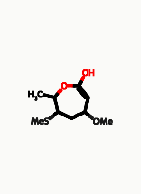 COC1C=C(O)OC(C)C(SC)C1